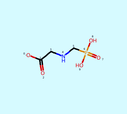 [O]C(=O)CNCP(=O)(O)O